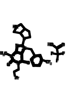 CC(C)CCn1c(=O)c2c(nc(N3CCC4CNCC43)n2Cc2cccc(C(F)(F)F)c2)n(C)c1=O.O=C(O)C(F)(F)F